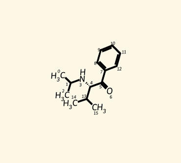 CC(C)N[C@H](C(=O)c1ccccc1)C(C)C